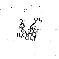 CCC#C/C=N\N(C)c1c(F)cc(F)cc1C(=O)N(CC)C(C)COc1ccc(Cl)cn1